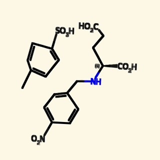 Cc1ccc(S(=O)(=O)O)cc1.O=C(O)CC[C@H](NCc1ccc([N+](=O)[O-])cc1)C(=O)O